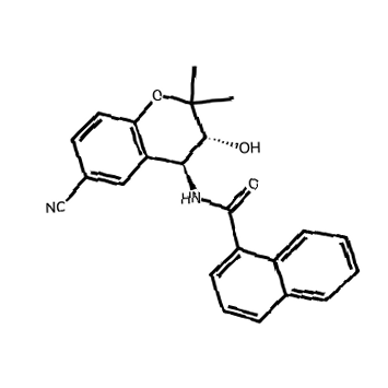 CC1(C)Oc2ccc(C#N)cc2[C@H](NC(=O)c2cccc3ccccc23)[C@H]1O